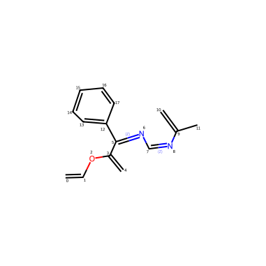 C=COC(=C)/C(=N\C=N/C(=C)C)c1ccccc1